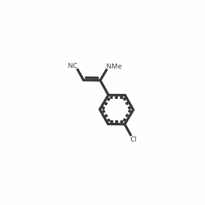 CNC(=CC#N)c1ccc(Cl)cc1